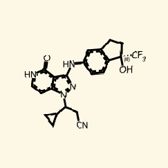 N#CCC(C1CC1)n1nc(Nc2ccc3c(c2)CC[C@]3(O)C(F)(F)F)c2c(=O)[nH]ccc21